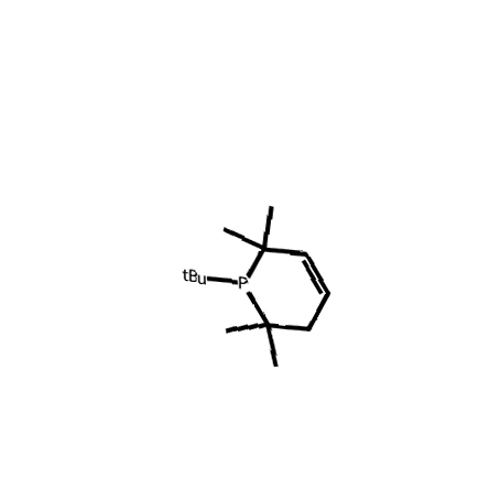 CC(C)(C)P1C(C)(C)C=CCC1(C)C